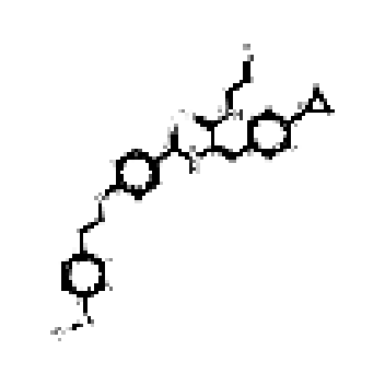 COc1ccc(CCOc2ccc(C(=O)N/C(=C/c3ccc(C4CC4)cc3)C(=O)NCCO)cc2)cc1